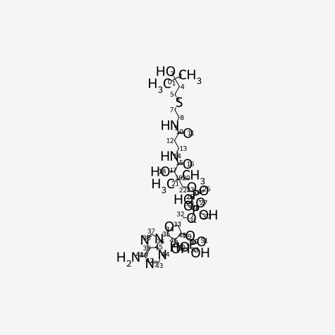 CC(C)(O)CCSCCNC(=O)CCNC(=O)[C@H](O)C(C)(C)COP(=O)(O)OP(=O)(O)OC[C@H]1O[C@@H](n2cnc3c(N)ncnc32)[C@H](O)[C@@H]1OP(=O)(O)O